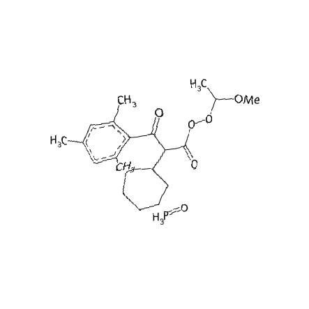 COC(C)OOC(=O)C(C(=O)c1c(C)cc(C)cc1C)C1CCCCC1.O=[PH3]